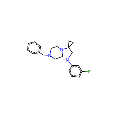 Fc1cccc(NCC2(N3CCN(Cc4ccccc4)CC3)CC2)c1